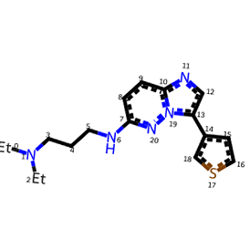 CCN(CC)CCCNc1ccc2ncc(-c3ccsc3)n2n1